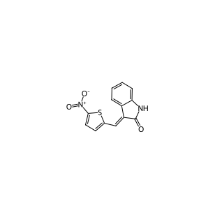 O=C1Nc2ccccc2/C1=C\c1ccc([N+](=O)[O-])s1